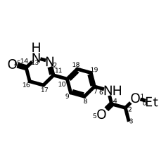 CCOC(C)C(=O)Nc1ccc(C2=NNC(=O)CC2)cc1